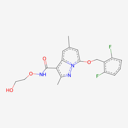 Cc1cc(OCc2c(F)cccc2F)n2nc(C)c(C(=O)NOCCO)c2c1